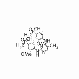 COc1cc(P(C)(C)=O)ccc1Nc1ncc(C)c(Nc2ccc(P(C)(C)=O)cc2OC)n1